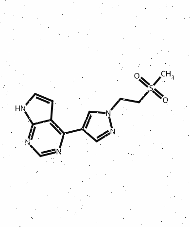 CS(=O)(=O)CCn1cc(-c2ncnc3[nH]ccc23)cn1